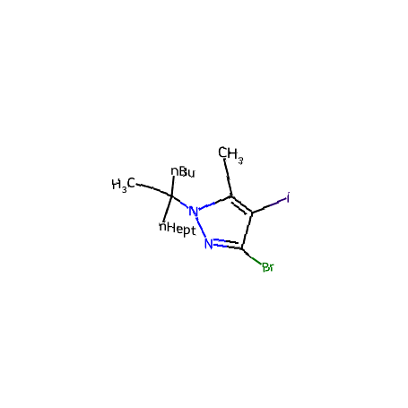 CCCCCCCC(C)(CCCC)n1nc(Br)c(I)c1C